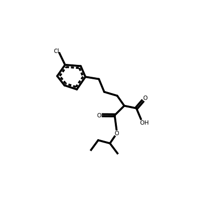 CCC(C)OC(=O)C(CCCc1cccc(Cl)c1)C(=O)O